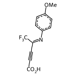 COc1ccc(/N=C(/C#CC(=O)O)C(F)(F)F)cc1